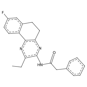 CCc1nc2c(nc1NC(=O)Cc1ccccc1)CCc1cc(F)ccc1-2